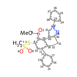 COC(=O)c1c(SS(C)(=O)=O)cc(-c2ccccc2)c2c1-c1cn(-c3ccccc3)nc1CC2